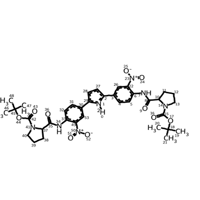 [2H]n1c(-c2ccc(NC(=O)C3CCCN3C(=O)OC(C)(C)C)c([N+](=O)[O-])c2)ccc1-c1ccc(NC(=O)C2CCCN2C(=O)OC(C)(C)C)c([N+](=O)[O-])c1